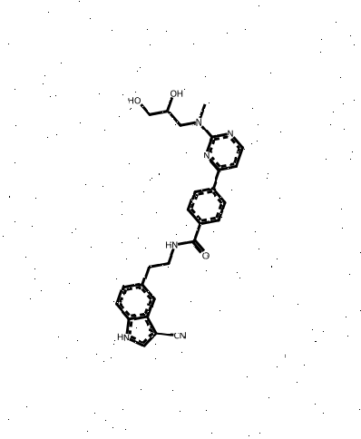 CN(CC(O)CO)c1nccc(-c2ccc(C(=O)NCCc3ccc4[nH]cc(C#N)c4c3)cc2)n1